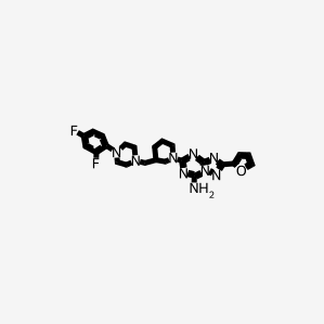 Nc1nc(N2CCCC(CN3CCN(c4ccc(F)cc4F)CC3)C2)nc2nc(-c3ccco3)nn12